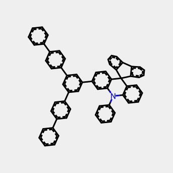 c1ccc(-c2ccc(-c3cc(-c4ccc(-c5ccccc5)cc4)cc(-c4ccc5c(c4)N(c4ccccc4)c4ccccc4C54c5ccccc5-c5ccccc54)c3)cc2)cc1